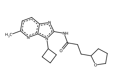 Cc1ccc2nc(NC(=O)CCC3CCCO3)n(C3CCC3)c2n1